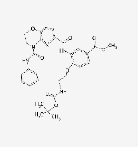 COC(=O)c1ccc(OCCNC(=O)OC(C)(C)C)c(NC(=O)c2ccc3c(n2)N(C(=O)Nc2ccccc2)CCO3)c1